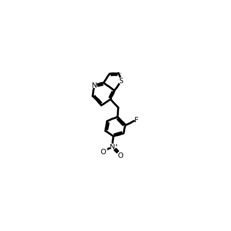 O=[N+]([O-])c1ccc(Cc2ccnc3c[c]sc23)c(F)c1